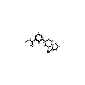 COC(=O)c1cccc(N2CC[N+]3(CCCC3Br)CC2)c1